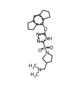 CN(C)CC1CCN(S(=O)(=O)c2nnc(Oc3c4c(cc5c3CCC5)CCC4)[nH]2)C1